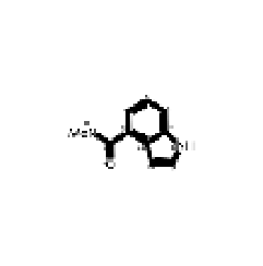 CNC(=O)c1cccc2[nH]ccc12